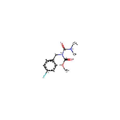 CN(C)C(=O)N(Cc1ccc(F)cc1)C(=O)OC(C)(C)C